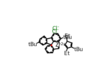 CCC1=[C](/[Zr+2](=[CH]/c2ccccc2)[c]2c(C(C)(C)C)ccc3c2Cc2cc(C(C)(C)C)ccc2-3)C(CC)C=C1C(C)(C)C.[Cl-].[Cl-]